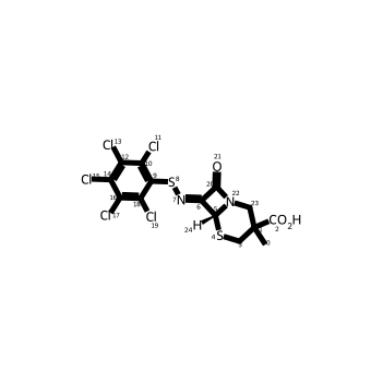 CC1(C(=O)O)CS[C@@H]2C(=NSc3c(Cl)c(Cl)c(Cl)c(Cl)c3Cl)C(=O)N2C1